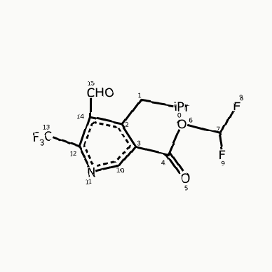 CC(C)Cc1c(C(=O)OC(F)F)cnc(C(F)(F)F)c1C=O